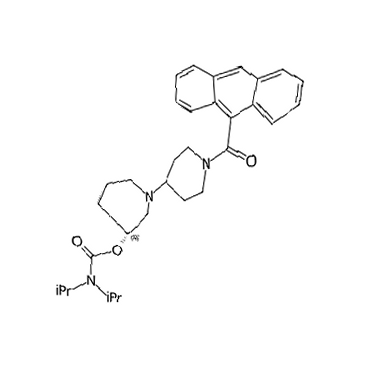 CC(C)N(C(=O)O[C@@H]1CCCN(C2CCN(C(=O)c3c4ccccc4cc4ccccc34)CC2)C1)C(C)C